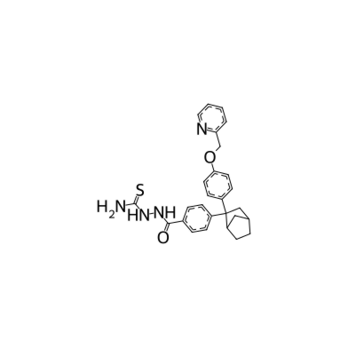 NC(=S)NNC(=O)c1ccc(C2(c3ccc(OCc4ccccn4)cc3)CC3CCC2C3)cc1